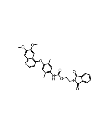 COc1cc2nccc(Oc3cc(C)c(NC(=O)OCCN4C(=O)c5ccccc5C4=O)cc3C)c2cc1OC